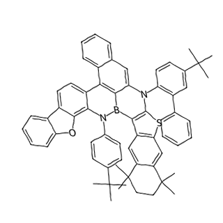 CC(C)(C)c1ccc(N2B3c4c(cc5ccccc5c4-c4ccc5c(oc6ccccc65)c42)N(c2ccc(C(C)(C)C)cc2-c2ccccc2)c2sc4cc5c(cc4c23)C(C)(C)CCC5(C)C)cc1